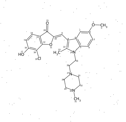 COc1ccc2c(c1)c(C=C1Oc3c(ccc(O)c3Cl)C1=O)c(C)n2CCN1CCN(C)CC1